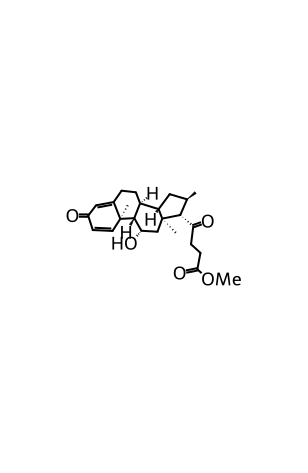 COC(=O)CCC(=O)[C@H]1[C@H](C)C[C@H]2[C@@H]3CCC4=CC(=O)C=C[C@]4(C)[C@H]3[C@@H](O)C[C@@]21C